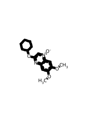 COc1cc2nc(OC3CCCCC3)c[n+]([O-])c2cc1OC